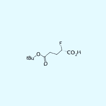 CC(C)(C)OC(=O)CC[C@H](F)C(=O)O